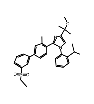 CCS(=O)(=O)c1cccc(-c2ccc(-c3nc(C(C)(C)OC)cn3-c3ccccc3C(C)C)c(C)c2)c1